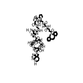 CC(C)C[C@H](NC(=O)[C@@H]1CCCN1C(=O)CNC(=O)CNC(=O)CCC(=O)N1Cc2ccccc2C#Cc2ccccc21)C(=O)NCCNc1nc(N)c2ncn([C@@H]3O[C@@H]4COP(=O)(S)O[C@H]5[C@@H](O)[C@H](n6cc7c8c(ncnc86)NCCC7)O[C@@H]5COP(=O)(S)O[C@@H]3[C@@H]4O)c2n1